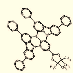 CC1(C)OB(c2cc3c4c(c2)-n2c5ccc(-c6ccccc6)cc5c5cc(-c6ccccc6)cc(c52)B4c2cc(-c4ccccc4)cc4c5cc(-c6ccccc6)ccc5n-3c24)OC1(C)C